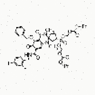 CC(C)OC(=O)OCOP(=O)(OCOC(=O)OC(C)C)[C@H]1CCC2(C1)N(C)C(=O)c1c(OCc3ccccc3)c(=O)c(C(=O)NCc3ccc(F)cc3F)cn1N2C